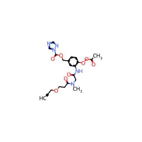 C#CCOCCC(=O)N(C)CC(=O)Nc1cc(COC(=O)n2cncn2)ccc1OOC(C)=O